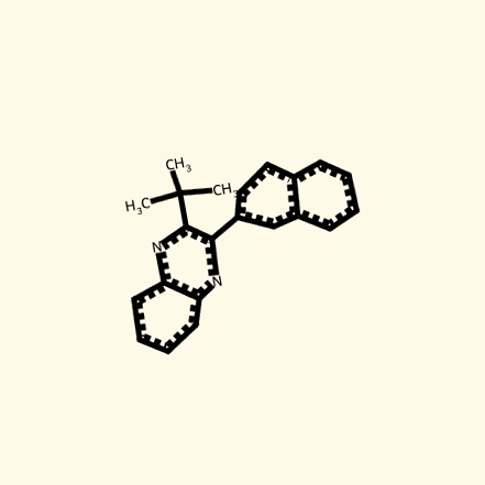 CC(C)(C)c1nc2ccccc2nc1-c1ccc2ccccc2c1